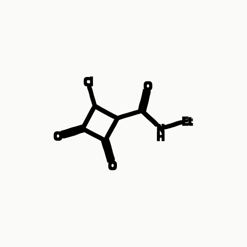 CCNC(=O)C1C(=O)C(=O)C1Cl